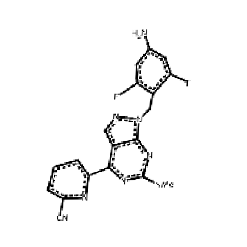 CNc1nc(-c2cccc(C#N)n2)c2cnn(Cc3c(F)cc(N)cc3F)c2n1